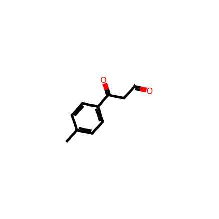 Cc1ccc(C(=O)C[C]=O)cc1